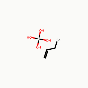 C=CC[Se].O[Si](O)(O)O